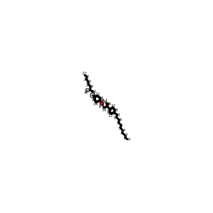 CCCCCCCCCCCc1ccc(-c2cnc(-c3ccc(OCC(F)CCCCCC)cc3)nc2)cc1